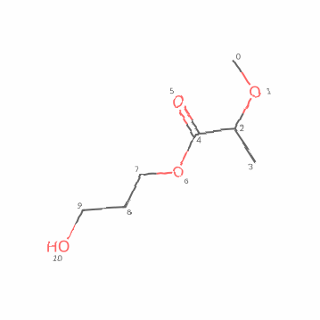 COC(C)C(=O)OCCCO